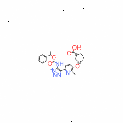 Cc1nc(-c2nnn(C)c2NC(=O)OC(C)c2ccccc2)ccc1O[C@H]1CCC[C@H](C(=O)O)C1